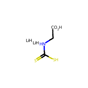 O=C(O)CNC(=S)S.[LiH].[LiH]